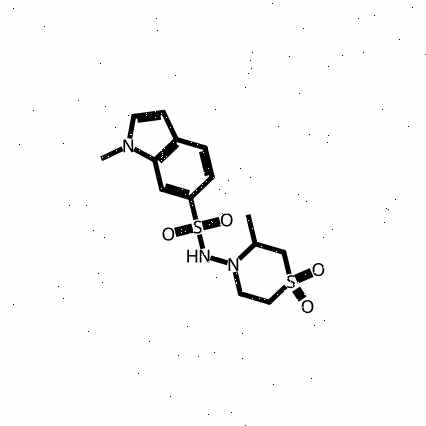 CC1CS(=O)(=O)CCN1NS(=O)(=O)c1ccc2ccn(C)c2c1